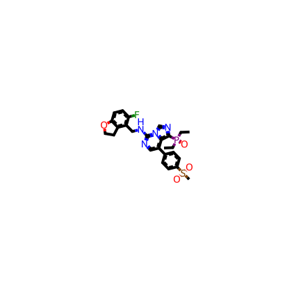 CCP(=O)(CC)c1ncn2c(NCc3c(F)ccc4c3CCO4)ncc(-c3ccc(S(C)(=O)=O)cc3)c12